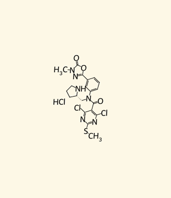 CSc1nc(Cl)c(C(=O)N(C[C@@H]2CCCN2)c2cccc(-c3nn(C)c(=O)o3)c2)c(Cl)n1.Cl